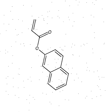 C=CC(=O)Oc1[c]c2ccccc2cc1